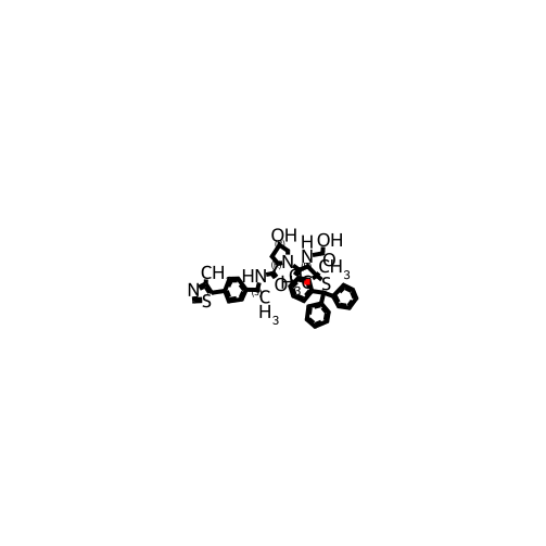 Cc1ncsc1-c1ccc([C@H](C)NC(=O)[C@H]2C[C@@H](O)CN2C(=O)[C@@H](NC(=O)O)C(C)(C)SC(c2ccccc2)(c2ccccc2)c2ccccc2)cc1